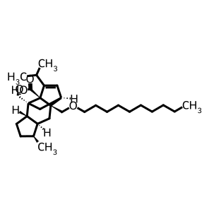 CCCCCCCCCCOC[C@]12C[C@H]3[C@@H](C)CC[C@@H]3[C@]3(C=O)C[C@H]1C=C(C(C)C)[C@]23C(=O)O